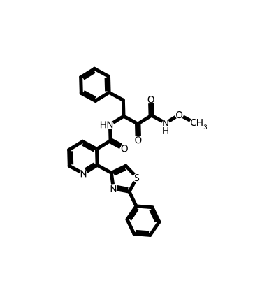 CONC(=O)C(=O)C(Cc1ccccc1)NC(=O)c1cccnc1-c1csc(-c2ccccc2)n1